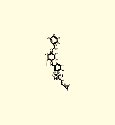 O=S(=O)(NCCC1CC1)c1cccc(Nc2ccc(OCc3ccccn3)cc2)c1